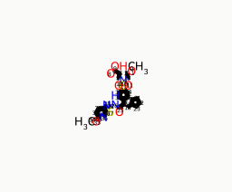 COCCN(CCC(=O)O)S(=O)(=O)c1ccc([C@@H](CC2CCCC2)C(=O)Nc2nc3ccc(OC)nc3s2)cc1